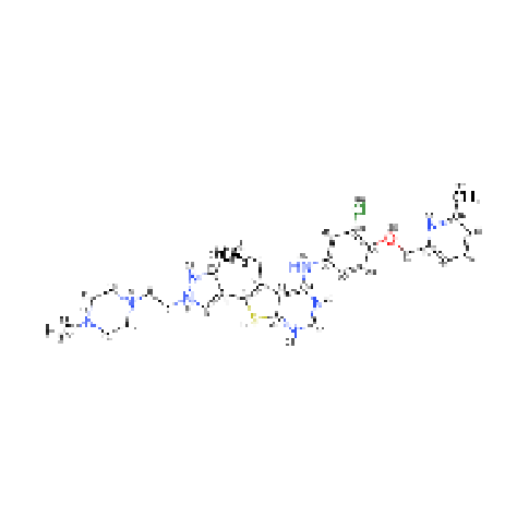 CCc1c(-c2cn(CCN3CCN(C)CC3)nc2C)sc2ncnc(Nc3ccc(OCc4cccc(C)n4)c(Cl)c3)c12